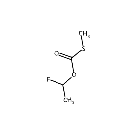 CSC(=O)OC(C)F